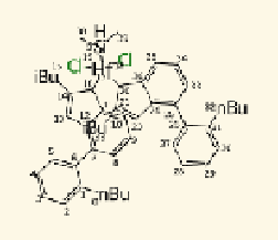 CCCCc1ccccc1-c1cccc2c1C=C(C(C)CC)[CH]2[Hf]([Cl])([Cl])([CH]1C(C(C)CC)=Cc2c(-c3ccccc3CCCC)cccc21)[SiH](C)C